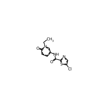 CCn1cc(NC(=O)c2ncc(Cl)s2)ccc1=O